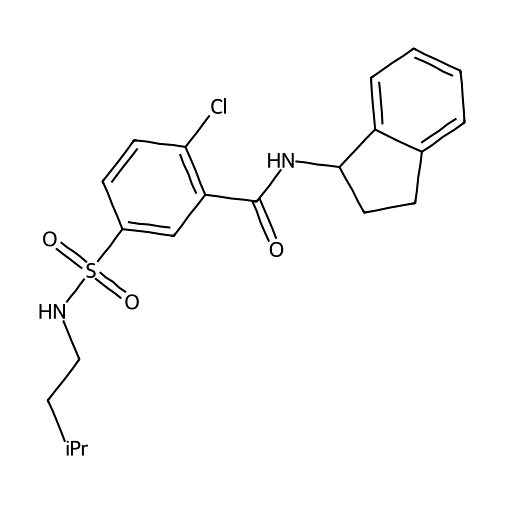 CC(C)CCNS(=O)(=O)c1ccc(Cl)c(C(=O)NC2CCc3ccccc32)c1